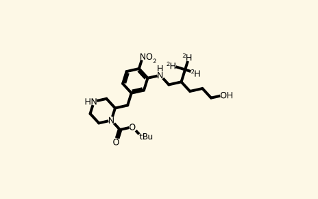 [2H]C([2H])([2H])C(CCCO)CNc1cc(CC2CNCCN2C(=O)OC(C)(C)C)ccc1[N+](=O)[O-]